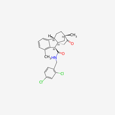 Cc1cccc2c1[C@H](C(=O)NCc1ccc(Cl)cc1Cl)[C@@]13CC(=O)[C@@](C)(CC[C@@H]21)C3